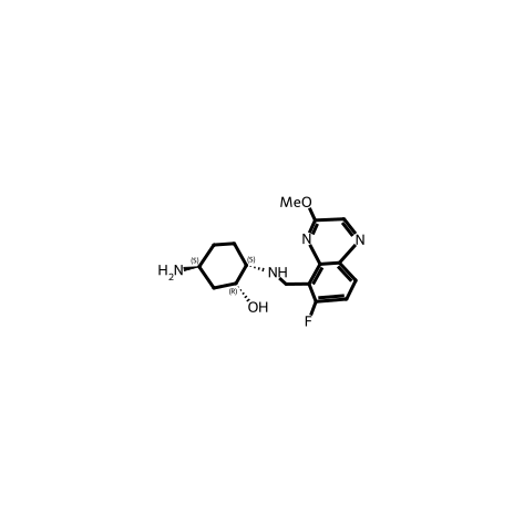 COc1cnc2ccc(F)c(CN[C@H]3CC[C@H](N)C[C@H]3O)c2n1